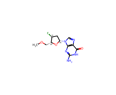 COC[C@H]1O[C@@H](n2cnc3c(=O)[nH]c(N)nc32)C[C@@H]1F